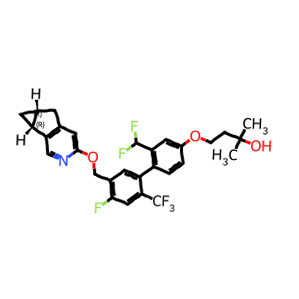 CC(C)(O)CCOc1ccc(-c2cc(COc3cc4c(cn3)[C@@H]3C[C@@H]3C4)c(F)cc2C(F)(F)F)c(C(F)F)c1